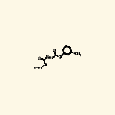 CCCCCCOC(=O)N=NC(=O)Oc1cccc(C)c1